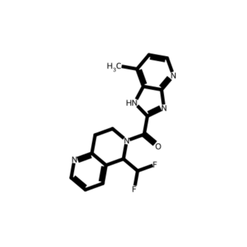 Cc1ccnc2nc(C(=O)N3CCc4ncccc4C3C(F)F)[nH]c12